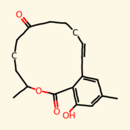 Cc1cc(O)c2c(c1)/C=C/CCCC(=O)CCCC(C)OC2=O